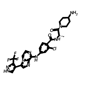 C[C@H](NC(=O)c1ccc(Nc2nccn3c(-c4c[nH]nc4C(F)(F)F)cnc23)cc1Cl)C(=O)N1CCC(N)CC1